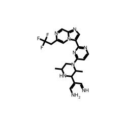 CC1CN(c2ccnc(-c3cnc4cnc(CC(F)(F)F)cn34)n2)C(C)C(/C(C=N)=C/N)N1